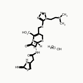 CN(C)CCn1nnnc1SCC1=C(C(=O)O)N2C(=O)[C@@H](NC(=O)Cc3csc(=N)[nH]3)[C@H]2SC1.Cl.Cl.O